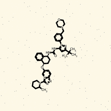 CC1CCCCN1c1nnc2ccc(O[C@@H]3CC[C@H](NC(=O)Nc4cc(C(C)(C)C)nn4-c4cccc(CN5CCOCC5)c4)c4ccccc43)cn12